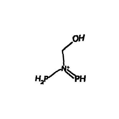 OC[N+](=P)P